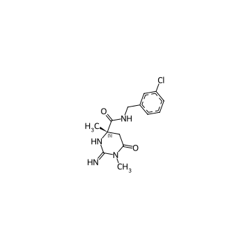 CN1C(=N)N[C@](C)(C(=O)NCc2cccc(Cl)c2)CC1=O